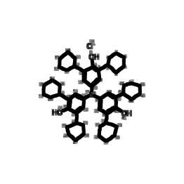 Oc1c(C2CCCCC2)cc([S+](c2cc(C3CCCCC3)c(O)c(C3CCCCC3)c2)c2cc(C3CCCCC3)c(O)c(C3CCCCC3)c2)cc1C1CCCCC1.[Cl-]